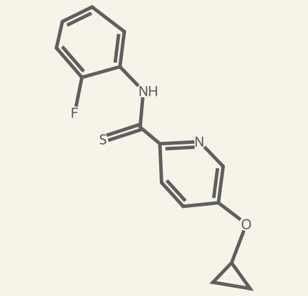 Fc1ccccc1NC(=S)c1ccc(OC2CC2)cn1